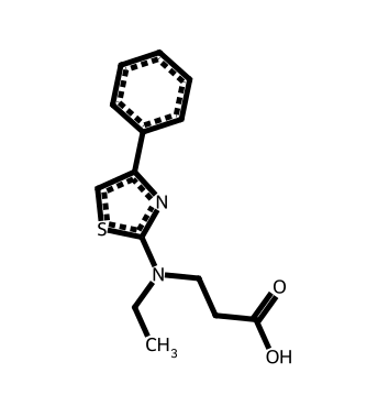 CCN(CCC(=O)O)c1nc(-c2ccccc2)cs1